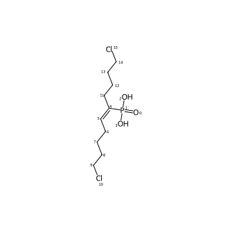 O=P(O)(O)C(=CCCCCCl)CCCCCl